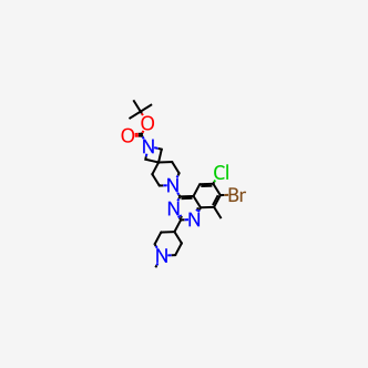 Cc1c(Br)c(Cl)cc2c(N3CCC4(CC3)CN(C(=O)OC(C)(C)C)C4)nc(C3CCN(C)CC3)nc12